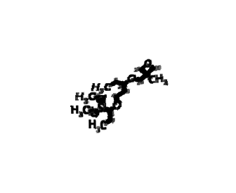 CCC(CCOC(CC)[SiH](OC)OC)OCC1(C)COC1